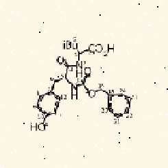 CC[C@H](C)[C@H](NC(=O)[C@H](Cc1ccc(O)cc1)NC(=O)OCc1ccccc1)C(=O)O